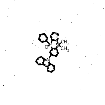 C[Si]1(C)c2ccccc2P(=O)(c2ccccc2)c2cc(-n3c4ccccc4c4ccccc43)ccc21